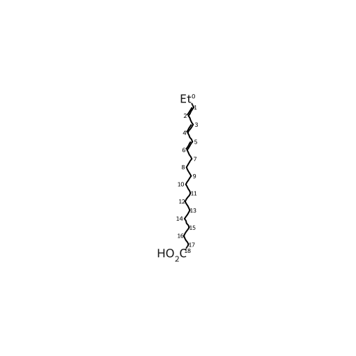 CC/C=C/C=C/C=C/CCCCCCCCCCCC(=O)O